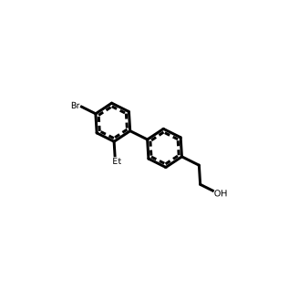 CCc1cc(Br)ccc1-c1ccc(CCO)cc1